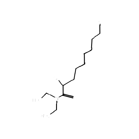 CCCCCCCCC(Br)C(=O)N(CC)CC